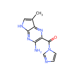 Cc1c[nH]c2nc(N)c(C(=O)n3ccnc3)nc12